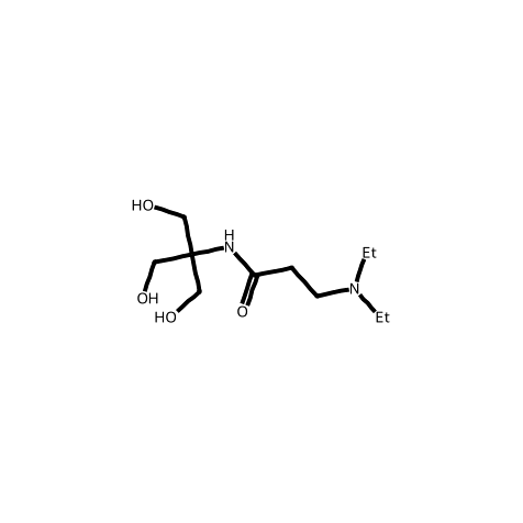 CCN(CC)CCC(=O)NC(CO)(CO)CO